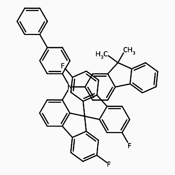 CC1(C)c2ccccc2-c2ccc(N(c3ccc(-c4ccccc4)cc3)c3cccc4c3C3(c5cc(F)ccc5-c5ccc(F)cc53)c3cc(F)ccc3-4)cc21